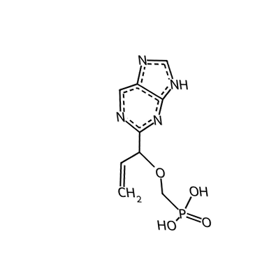 C=CC(OCP(=O)(O)O)c1ncc2nc[nH]c2n1